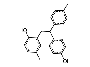 Cc1ccc(C(Cc2cc(C)ccc2O)c2ccc(O)cc2)cc1